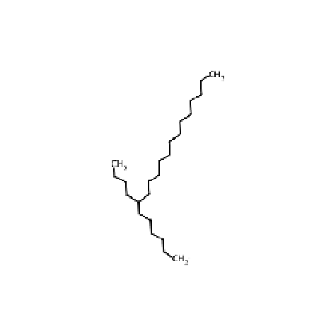 [CH2]CCCCCC(CCCC)CCCCCCCCCCCCC